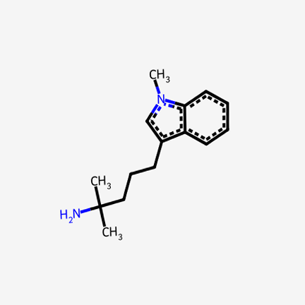 Cn1cc(CCCC(C)(C)N)c2ccccc21